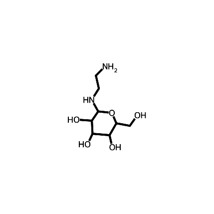 NCCNC1OC(CO)C(O)C(O)C1O